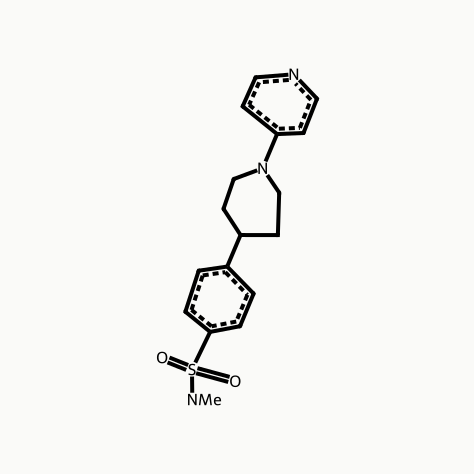 CNS(=O)(=O)c1ccc(C2CCN(c3ccncc3)CC2)cc1